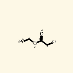 CC(C)COC(=O)CF